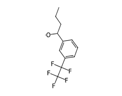 CCCC([O])c1cccc(C(F)(F)C(F)(F)F)c1